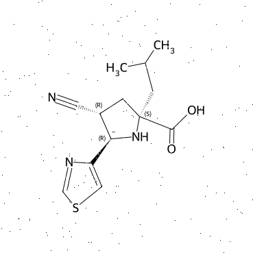 CC(C)C[C@@]1(C(=O)O)C[C@@H](C#N)[C@H](c2cscn2)N1